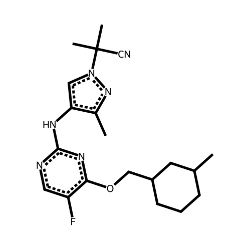 Cc1nn(C(C)(C)C#N)cc1Nc1ncc(F)c(OCC2CCCC(C)C2)n1